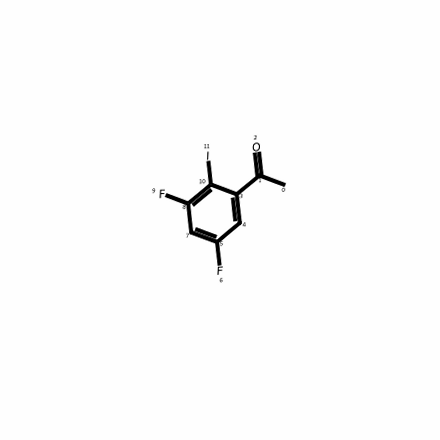 CC(=O)c1cc(F)cc(F)c1I